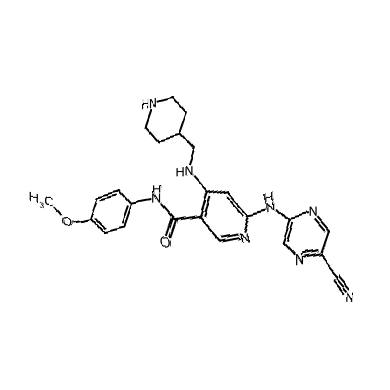 COc1ccc(NC(=O)c2cnc(Nc3cnc(C#N)cn3)cc2NCC2CCNCC2)cc1